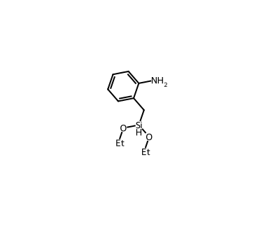 CCO[SiH](Cc1ccccc1N)OCC